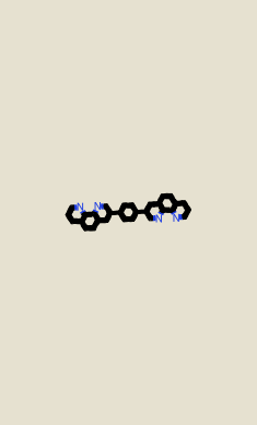 c1cnc2c(c1)ccc1cc(-c3ccc(-c4cnc5c(ccc6cccnc65)c4)cc3)cnc12